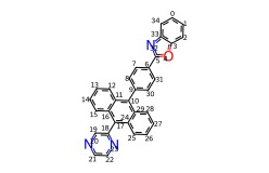 c1ccc2oc(-c3ccc(-c4c5ccccc5c(-c5cnccn5)c5ccccc45)cc3)nc2c1